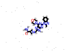 Cc1nc2ccccc2n1-c1nc(N2CCOCC2)c2nc(CN3CC(C(=O)N(C)C)C3)n(C)c2n1